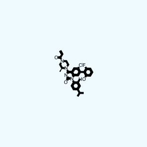 C=CC(=O)N1CCN(c2nc(=O)n(-c3ccc(C(C)C)cc3C)c3cc(-c4c(O)cccc4F)c(Cl)cc23)[C@@H](C)C1